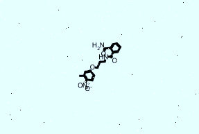 Cc1cc(OCCCNC(=O)c2ccccc2C(N)=O)ccc1[N+](=O)[O-]